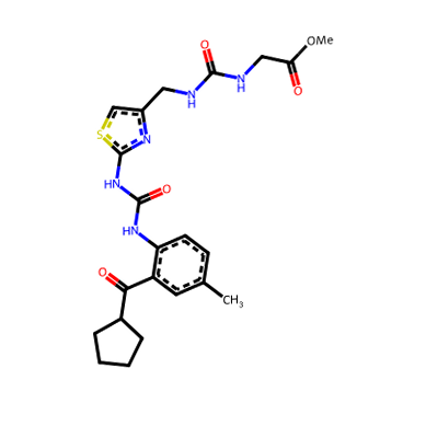 COC(=O)CNC(=O)NCc1csc(NC(=O)Nc2ccc(C)cc2C(=O)C2CCCC2)n1